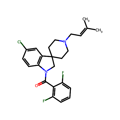 CC(C)=CCN1CCC2(CC1)CN(C(=O)c1c(F)cccc1F)c1ccc(Cl)cc12